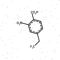 O=C(O)c1ccc(CC(F)(F)F)cc1[N+](=O)[O-]